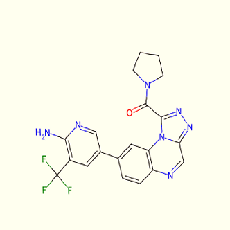 Nc1ncc(-c2ccc3ncc4nnc(C(=O)N5CCCC5)n4c3c2)cc1C(F)(F)F